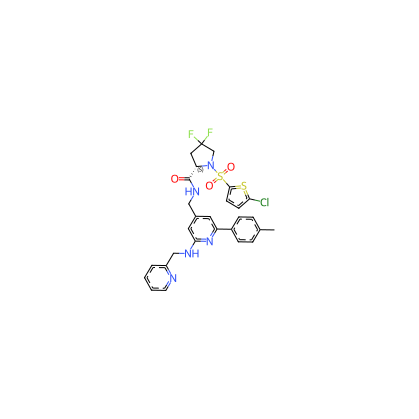 Cc1ccc(-c2cc(CNC(=O)[C@@H]3CC(F)(F)CN3S(=O)(=O)c3ccc(Cl)s3)cc(NCc3ccccn3)n2)cc1